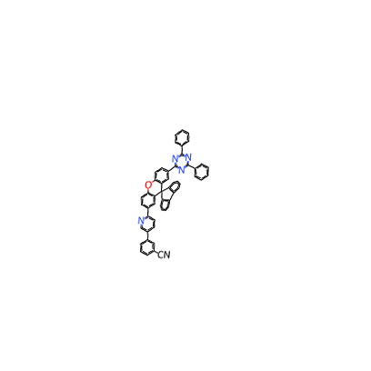 N#Cc1cccc(-c2ccc(-c3ccc4c(c3)C3(c5cc(-c6nc(-c7ccccc7)nc(-c7ccccc7)n6)ccc5O4)c4ccccc4-c4ccccc43)nc2)c1